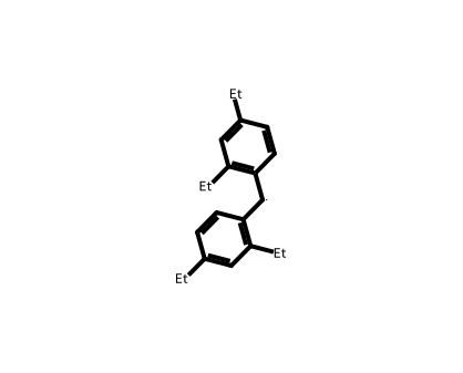 CCc1ccc([CH]c2ccc(CC)cc2CC)c(CC)c1